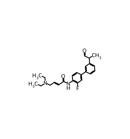 CCN(CC)C/C=C/C(=O)Nc1ccc(-c2cccc(C(C)C=O)c2)cc1F